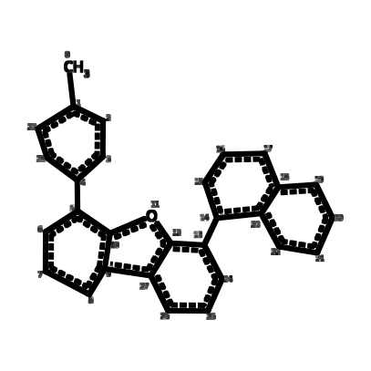 Cc1ccc(-c2cccc3c2oc2c(-c4cccc5ccccc45)cccc23)cc1